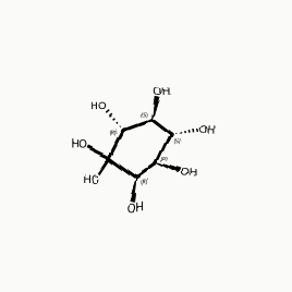 O[C@@H]1[C@@H](O)[C@@H](O)C(O)(O)[C@H](O)[C@H]1O